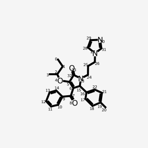 CCC(C)OC1=C(C(=O)c2ccccc2)C(c2ccc(C)cc2)N(CCCn2ccnc2)C1=O